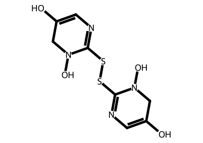 OC1=CN=C(SSC2=NC=C(O)CN2O)N(O)C1